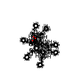 NC[C@H]1O[C@@H](O[C@@H]2[C@@H](O)[C@H](NC(=O)[C@@H](O)CCNC(=O)OCc3ccccc3)C[C@H](NC(=O)OCc3ccccc3)[C@H]2O[C@H]2O[C@H](CN(CCCc3ccccc3)C(=O)OCc3ccccc3)[C@@H](O)[C@H](O)[C@H]2NC(=O)OCc2ccccc2)[C@H](O)[C@@H]1O[C@H]1O[C@@H](CNC(=O)OCc2ccccc2)[C@@H](O)[C@H](O)[C@H]1NC(=O)OCc1ccccc1